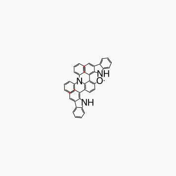 [O]c1ccc(-c2cccc3c2[nH]c2ccccc23)c(N(c2ccccc2)c2ccccc2)c1-c1cccc2c1[nH]c1ccccc12